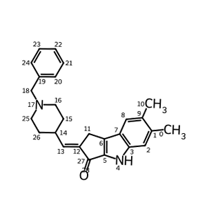 Cc1cc2[nH]c3c(c2cc1C)CC(=CC1CCN(Cc2ccccc2)CC1)C3=O